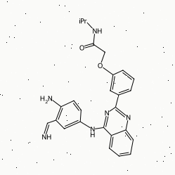 CC(C)NC(=O)COc1cccc(-c2nc(Nc3ccc(N)c(C=N)c3)c3ccccc3n2)c1